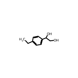 CCc1ccc(C(O)CO)cc1